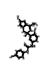 C[C@@]1(c2cc(NC(=O)Oc3ccc(F)cn3)ccc2F)Cn2cc(F)cc2C(N)=N1